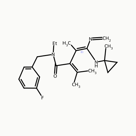 C=N/C(NC1(C)CC1)=C(\C)C(C(=O)N(CC)Cc1cccc(F)c1)=C(C)C